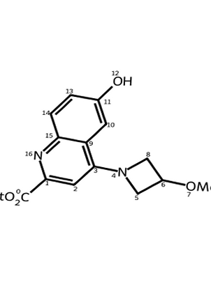 CCOC(=O)c1cc(N2CC(OC)C2)c2cc(O)ccc2n1